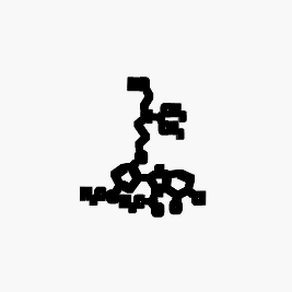 COc1ccc(OCCCN(CCO)C(C)C)c(C2SC3=C(C(=O)C(Cl)C=C3)N2C(C)=O)c1